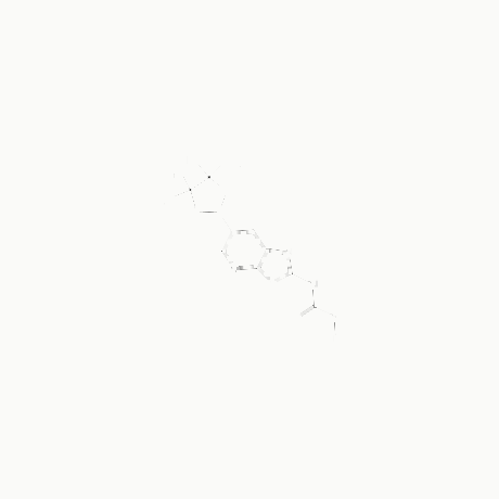 CCNC(=O)Nc1nc2cc(B3OC(C)(C)C(C)(CC)O3)cnc2s1